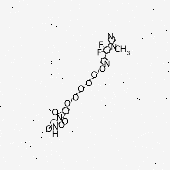 Cn1c2ccncc2c2c(F)c(F)c(-c3ccc(OCCOCCOCCOCCOCCOc4ccc5c(c4)C(=O)N(C4CCC(=O)NC4=O)C5=O)nc3)cc21